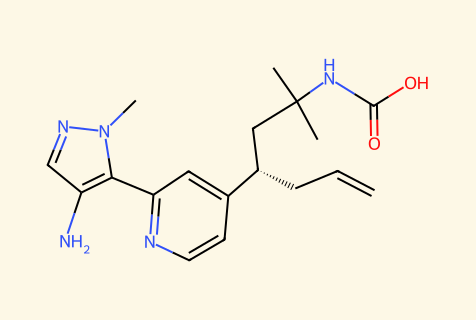 C=CC[C@@H](CC(C)(C)NC(=O)O)c1ccnc(-c2c(N)cnn2C)c1